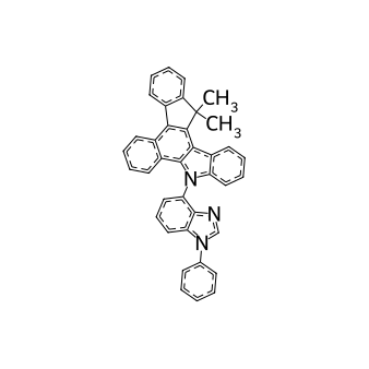 CC1(C)c2ccccc2-c2c1c1c3ccccc3n(-c3cccc4c3ncn4-c3ccccc3)c1c1ccccc21